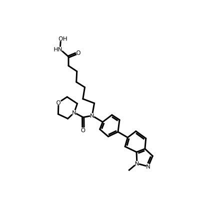 Cn1ncc2ccc(-c3ccc(N(CCCCCCC(=O)NO)C(=O)N4CCOCC4)cc3)cc21